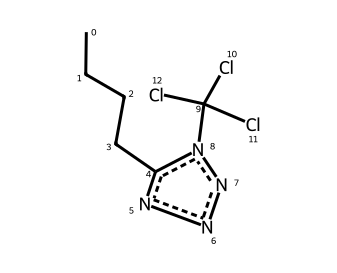 CCCCc1nnnn1C(Cl)(Cl)Cl